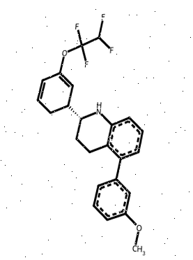 COc1cccc(-c2cccc3c2CC[C@H](C2C=C(OC(F)(F)C(F)F)C=CC2)N3)c1